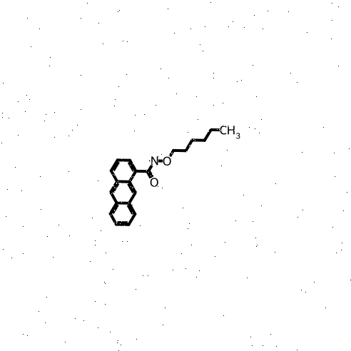 CCCCCCO[N]C(=O)c1cccc2cc3ccccc3cc12